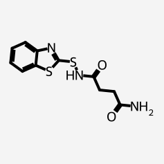 NC(=O)CCC(=O)NSc1nc2ccccc2s1